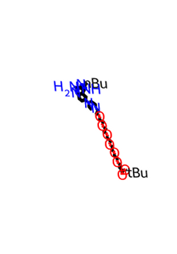 CCCCc1nc2c(N)nc3ccc(N4CCN(CCOCCOCCOCCOCCOCCOCCC(=O)OC(C)(C)C)CC4)cc3c2[nH]1